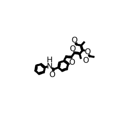 CC(=O)Oc1c(C)c(-c2cc3cc(C(=O)Nc4ccccc4)ccc3o2)oc(=O)c1C